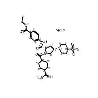 CCOC(=O)c1ccc(NC(=O)[C@@H]2C[C@H](N3CCN(S(C)(=O)=O)CC3)CN2C(=O)C2CCC(C(=N)N)CC2)cc1.Cl